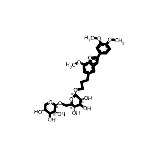 COc1ccc(-c2cc3cc(CCCO[C@@H]4OC(CO[C@@H]5OC[C@@H](O)C(O)[C@@H]5O)[C@@H](O)C(O)[C@@H]4O)cc(OC)c3o2)cc1OC